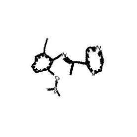 CC(=Nc1c(C)cccc1O[SiH](C)C)c1cnccn1